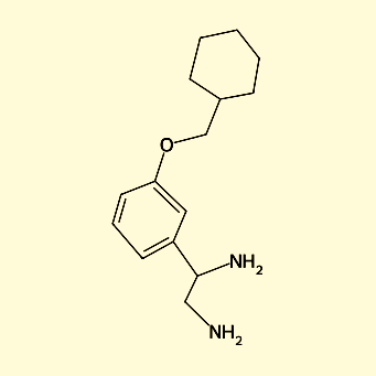 NCC(N)c1cccc(OCC2CCCCC2)c1